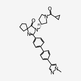 Cn1cc(-c2ccc(-c3ccc(C4=NC5(CCCC5)C(=O)N4C[C@@H]4CCN(C(=O)C5CC5)C4)cc3)cc2)cn1